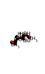 C[C@H]1CCCCN1c1nnc2ccc(O[C@@H]3CC[C@H](NC(=O)Nc4cc(C(C)(C)C)nn4-c4ccc(CO)c(OCCN5CCN(C)CC5)c4)c4ccccc43)cn12